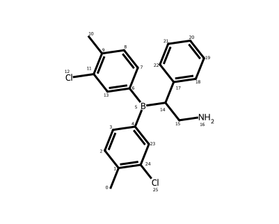 Cc1ccc(B(c2ccc(C)c(Cl)c2)C(CN)c2ccccc2)cc1Cl